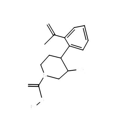 C=C(C)c1ccccc1C1CCN(C(=O)OC(C)(C)C)CC1C(=O)O